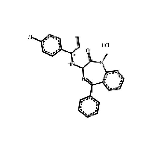 C=C[C@@H](NC1N=C(c2ccccc2)c2ccccc2N(C)C1=O)c1ccc(Cl)cc1.Cl